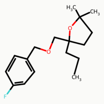 CCCC1(COCc2ccc(F)cc2)CCC(C)(C)O1